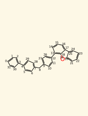 c1ccc(-c2ccc(Cc3ccc(-c4cccc5c4oc4ccccc45)cc3)cc2)cc1